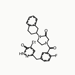 CCc1cc(Cc2ccc(F)c(C(=O)N3CCN(C4CCc5ccccc5C4)C(=O)C3)c2)n[nH]c1=O